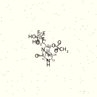 CS(=O)(=O)OC1=C(C(=O)O)N2C(=O)C3NCCC1[C@H]32.O=C(O)C(F)(F)F